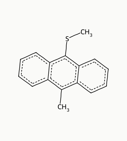 CSc1c2ccccc2c(C)c2ccccc12